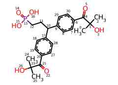 CC(C)(O)C(=O)c1ccc(C(CCP(=O)(O)O)c2ccc(C(=O)C(C)(C)O)cc2)cc1